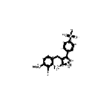 COc1ccc(Cc2c(-c3ccc(S(C)(=O)=O)cc3)n[nH]c2C(F)(F)F)cc1F